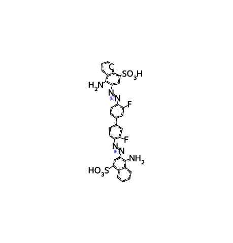 Nc1c(/N=N/c2ccc(-c3ccc(/N=N/c4cc(S(=O)(=O)O)c5ccccc5c4N)c(F)c3)cc2F)cc(S(=O)(=O)O)c2ccccc12